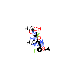 Cc1[nH]c2c(-c3cc(F)ccc3OCC3CC3)ncnc2c1C(=O)N[C@@H]1CN(C(=O)[C@H](C)O)CC1(F)F